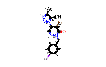 CC(=O)c1nnn(-c2cnn(Cc3ccc(I)cc3)c(=O)c2Br)c1C